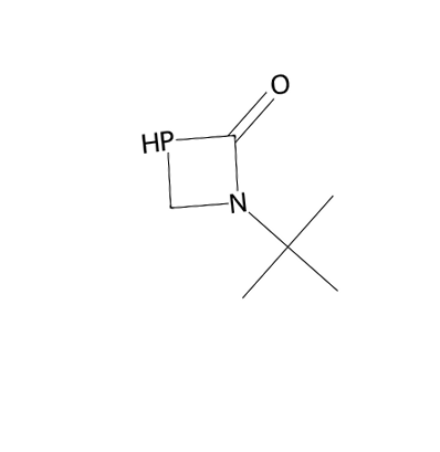 CC(C)(C)N1CPC1=O